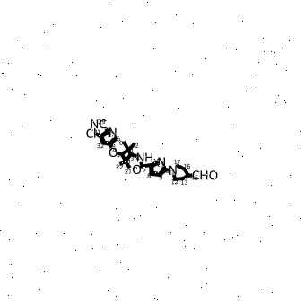 CC1(C)C(NC(=O)c2ccc(N3CCC(C=O)CC3)nc2)C(C)(C)C1Oc1cnc(C#N)c(Cl)c1